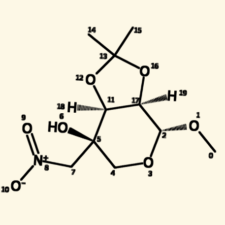 CO[C@@H]1OC[C@](O)(C[N+](=O)[O-])[C@H]2OC(C)(C)O[C@@H]12